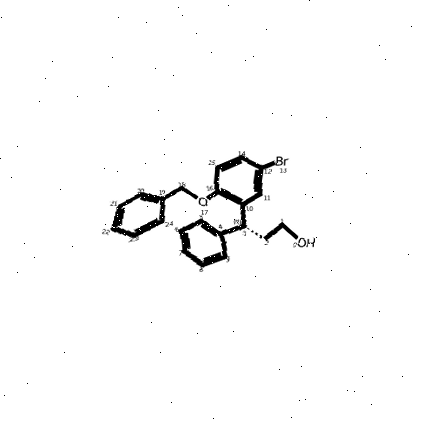 OCC[C@H](c1ccccc1)c1cc(Br)ccc1OCc1ccccc1